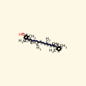 CC1=C(/C=C/C(C)=C/C=C/C(C)=C/C=C/C=C(C)/C=C/C=C(C)/C=C/[C@H]2C(C)CCCC2(C)C)C(C)(C)C[C@H](O)C1